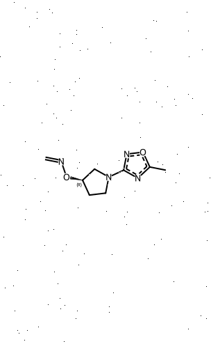 C=NO[C@@H]1CCN(c2noc(C)n2)C1